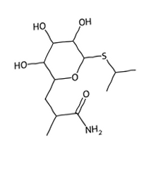 CC(C)SC1OC(CC(C)C(N)=O)C(O)C(O)C1O